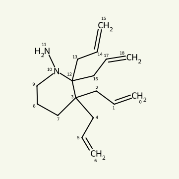 C=CCC1(CC=C)CCCN(N)C1(CC=C)CC=C